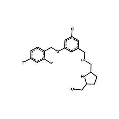 NCC1CCC(CNCc2cc(Cl)cc(OCc3ccc(Cl)cc3Br)c2)N1